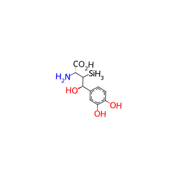 N[C@H](C(=O)O)C([SiH3])[C@H](O)c1ccc(O)c(O)c1